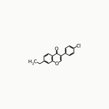 CCc1ccc2c(=O)c(-c3ccc(Cl)cc3)coc2c1